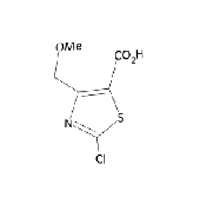 COCc1nc(Cl)sc1C(=O)O